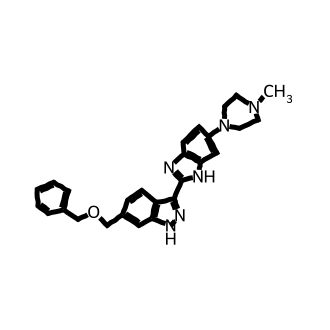 CN1CCN(c2ccc3nc(-c4n[nH]c5cc(COCc6ccccc6)ccc45)[nH]c3c2)CC1